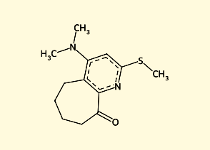 CSc1cc(N(C)C)c2c(n1)C(=O)CCCC2